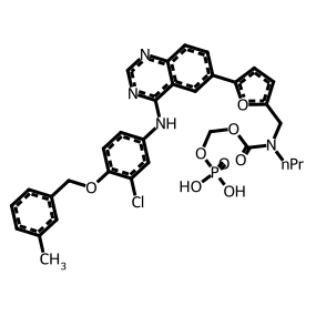 CCCN(Cc1ccc(-c2ccc3ncnc(Nc4ccc(OCc5cccc(C)c5)c(Cl)c4)c3c2)o1)C(=O)OCOP(=O)(O)O